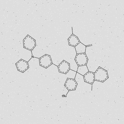 C=C1c2cc(C)ccc2-c2cc3c(cc21)-c1c(cc(C)c2ccccc12)C3(c1ccc(-c2ccc(N(c3ccccc3)c3ccccc3)cc2)cc1)c1ccc(C(C)(C)C)cc1